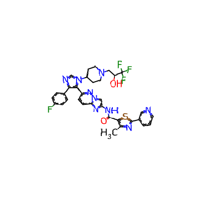 Cc1nc(-c2cccnc2)sc1C(=O)Nc1cn2nc(-c3c(-c4ccc(F)cc4)ncn3C3CCN(CC(O)C(F)(F)F)CC3)ccc2n1